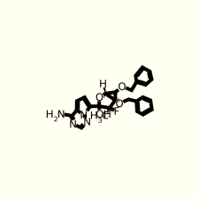 C[C@]1(F)C(O)(c2ccc3c(N)ncnn23)O[C@@H]2C(OCc3ccccc3)[C@@]21OCc1ccccc1